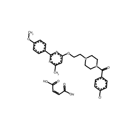 COc1ccc(-c2nc(C)cc(OCCN3CCN(C(=O)c4ccc(Cl)cc4)CC3)n2)cc1.O=C(O)/C=C\C(=O)O